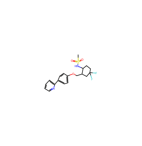 CS(=O)(=O)NC1CCC(F)(F)CC1COc1ccc(-c2ccccn2)cc1